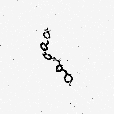 C[C@H]1CN(Cc2cccc(-c3cccc(CNC(=O)c4cccc(CC5CCN(C)CC5)c4)c3)c2)CC[N+]1(C)C